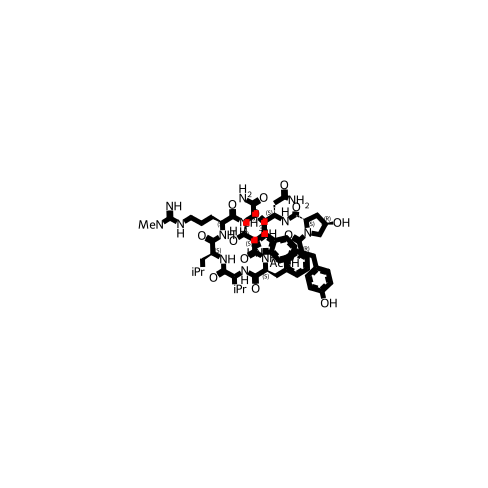 CNC(=N)NCCC[C@H](NC(=O)[C@H](CC(C)C)NC(=O)C(NC(=O)[C@H](Cc1ccccc1)NC(=O)[C@@H](NC(=O)[C@H](CC(N)=O)NC(=O)[C@@H]1C[C@@H](O)CN1C(=O)[C@@H](Cc1ccc(O)cc1)NC(C)=O)[C@@H](C)O)C(C)C)C(=O)N[C@@H](Cc1c[nH]c2ccccc12)C(N)=O